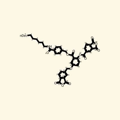 CCCCCCCCCCCCCCCCNC(=O)c1ccc(COC(=O)c2cc(OCc3ccc4c(c3)C(=O)OC4=O)ccc2OC(=O)c2ccc3c(c2)C(=O)OC3=O)cc1